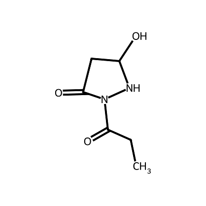 CCC(=O)N1NC(O)CC1=O